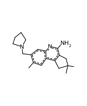 Cc1cc2c3c(c(N)nc2cc1CN1CCCC1)CC(C)(C)C3